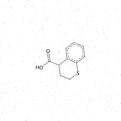 O=C(O)C1CCSc2ccccc21